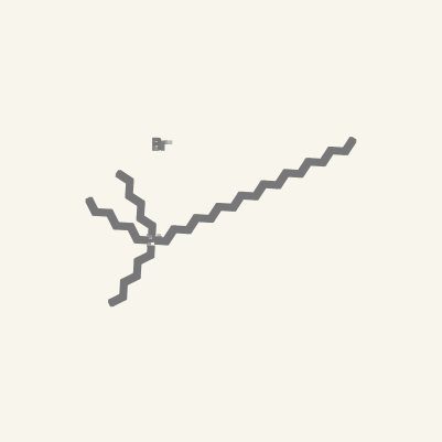 CCCCCCCCCCCCCCCCCC[P+](CCCCCC)(CCCCCC)CCCCCC.[Br-]